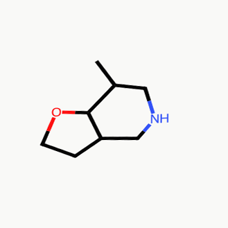 CC1CNCC2CCOC12